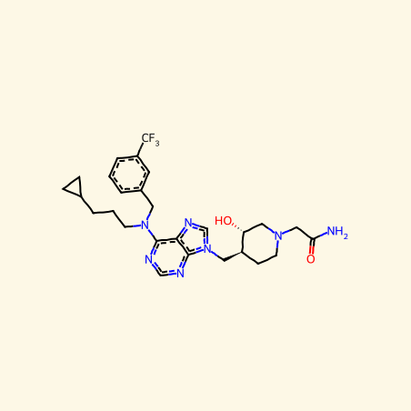 NC(=O)CN1CC[C@@H](Cn2cnc3c(N(CCCC4CC4)Cc4cccc(C(F)(F)F)c4)ncnc32)[C@H](O)C1